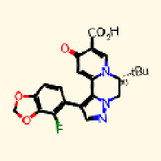 CC(C)(C)[C@@H]1Cn2ncc(-c3ccc4c(c3F)OCO4)c2-c2cc(=O)c(C(=O)O)cn21